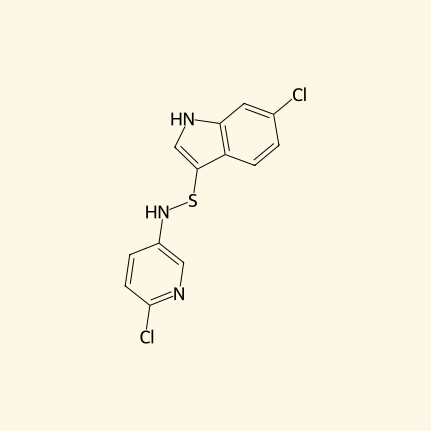 Clc1ccc2c(SNc3ccc(Cl)nc3)c[nH]c2c1